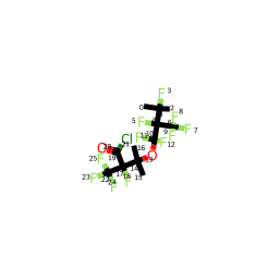 CC(C)(F)C(F)(C(F)(F)F)C(F)(F)OC(C)(C)C(F)(C(=O)Cl)C(F)(F)F